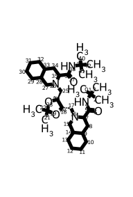 CC(C)(C)NC(=O)C1CC2CCCCC2CN1C[C@@H]1OC(C)(C)O[C@H]1CN1CC2CCCCC2CC1C(=O)NC(C)(C)C